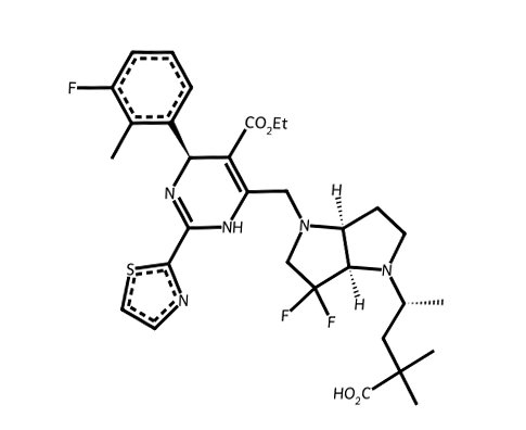 CCOC(=O)C1=C(CN2CC(F)(F)[C@H]3[C@@H]2CCN3[C@H](C)CC(C)(C)C(=O)O)NC(c2nccs2)=N[C@H]1c1cccc(F)c1C